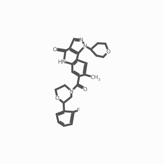 Cc1cc2c(cc1C(=O)N1CCOC(c3ccccc3F)C1)[nH]c(=O)c1cnn(C3CCOCC3)c12